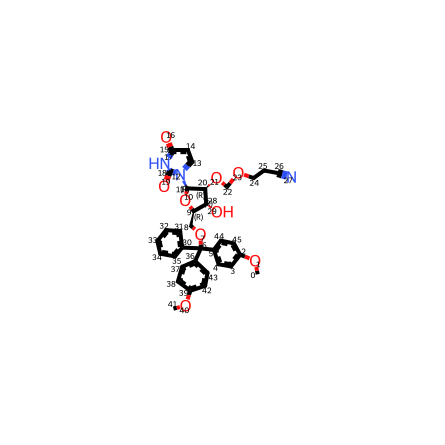 COc1ccc(C(OC[C@H]2O[C@@H](n3ccc(=O)[nH]c3=O)[C@H](OCOCCC#N)[C@@H]2O)(c2ccccc2)c2ccc(OC)cc2)cc1